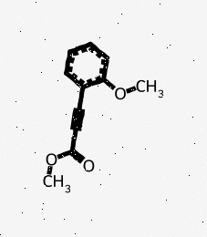 COC(=O)C#Cc1ccccc1OC